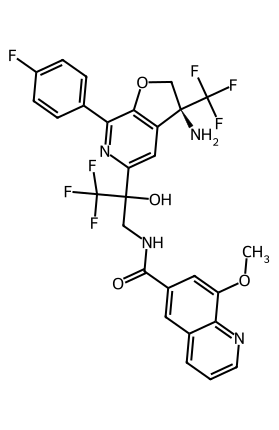 COc1cc(C(=O)NCC(O)(c2cc3c(c(-c4ccc(F)cc4)n2)OC[C@]3(N)C(F)(F)F)C(F)(F)F)cc2cccnc12